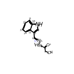 N#CCC(=O)N/N=C/c1c[nH]c2ccccc12